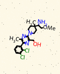 COC[C@H](N)C1(C)CCN(c2nc(C)c(-c3cccc(Cl)c3Cl)nc2CO)CC1